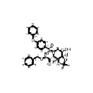 CC1(C)O[C@H]2[C@H](O1)[C@H](C(=O)NOCc1ccccc1)N(S(=O)(=O)c1ccc(Oc3ccccc3)cc1)C[C@H]2O